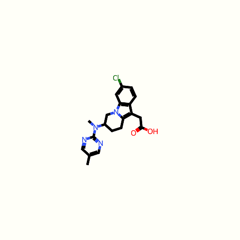 Cc1cnc(N(C)C2CCc3c(CC(=O)O)c4ccc(Cl)cc4n3C2)nc1